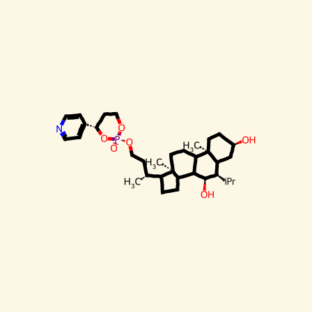 CC(C)[C@@H]1C2C[C@H](O)CC[C@]2(C)C2CC[C@@]3(C)C(CCC3[C@H](C)CCO[P@@]3(=O)OCC[C@@H](c4ccncc4)O3)C2[C@@H]1O